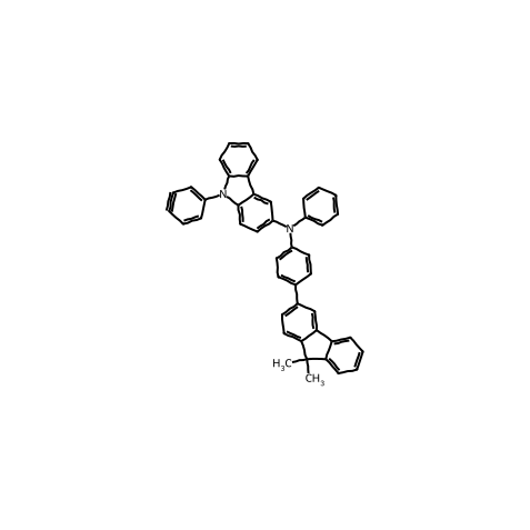 CC1(C)c2ccccc2-c2cc(-c3ccc(N(c4ccccc4)c4ccc5c(c4)c4ccccc4n5-c4cc#ccc4)cc3)ccc21